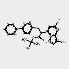 CC(C)(C)OC(=O)N(Cc1ccc(-c2ccccn2)cc1)c1cc(Cl)nc2c(Cl)cnn12